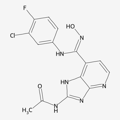 CC(=O)Nc1nc2nccc(/C(=N/O)Nc3ccc(F)c(Cl)c3)c2[nH]1